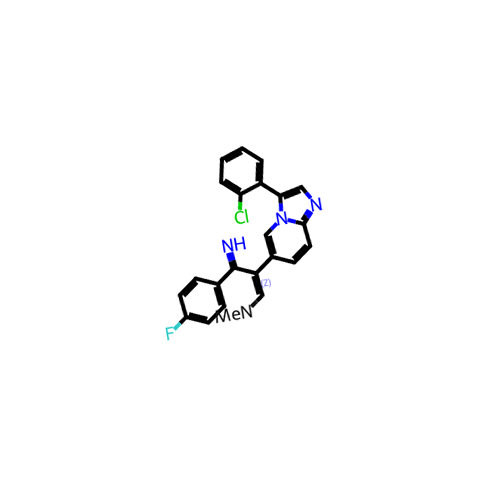 CN/C=C(\C(=N)c1ccc(F)cc1)c1ccc2ncc(-c3ccccc3Cl)n2c1